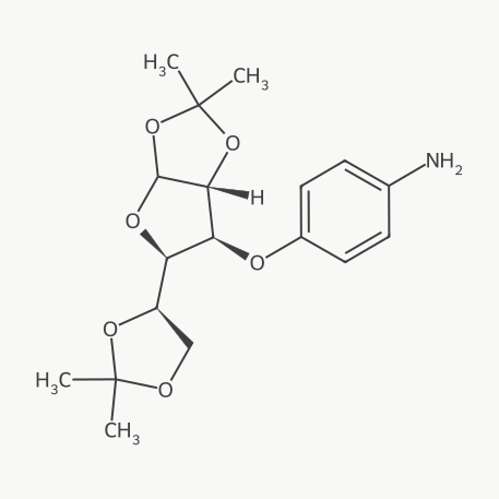 CC1(C)OC[C@H]([C@H]2OC3OC(C)(C)O[C@@H]3[C@H]2Oc2ccc(N)cc2)O1